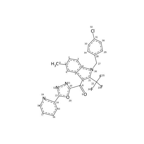 Cc1ccc2c(c1)c(C(=O)c1nnc(-c3ccccn3)o1)c(C(F)(F)F)n2Cc1ccc(Cl)cc1